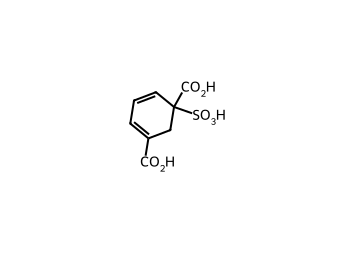 O=C(O)C1=CC=CC(C(=O)O)(S(=O)(=O)O)C1